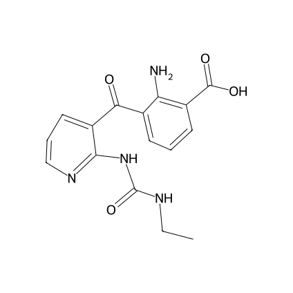 CCNC(=O)Nc1ncccc1C(=O)c1cccc(C(=O)O)c1N